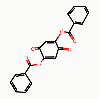 O=C1C=C(OC(=O)c2ccccc2)C(=O)C=C1OC(=O)c1ccccc1